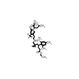 CCOC(=O)CCC(CC1(CNCCc2cn(C(CC(C)C)C(N)=O)c(=O)cc2C(F)(F)F)CC1)c1c(C)cc(C)cc1C